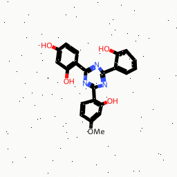 COc1ccc(-c2nc(-c3ccccc3O)nc(-c3ccc(O)cc3O)n2)c(O)c1